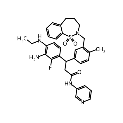 CCNc1ccc(C(CC(=O)Nc2cccnc2)c2ccc(C)c(CN3CCCc4ccccc4S3(=O)=O)c2)c(F)c1N